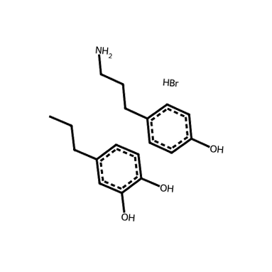 Br.CCCc1ccc(O)c(O)c1.NCCCc1ccc(O)cc1